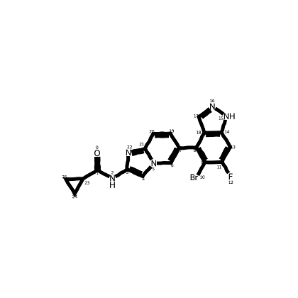 O=C(Nc1cn2cc(-c3c(Br)c(F)cc4[nH]ncc34)ccc2n1)C1CC1